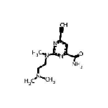 C#Cc1cc(C(N)=O)nc(N(C)CCN(C)C)n1